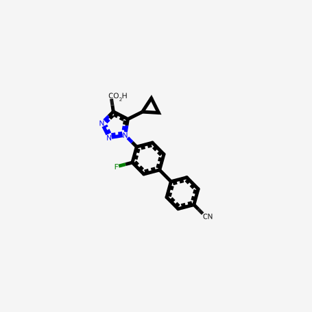 N#Cc1ccc(-c2ccc(-n3nnc(C(=O)O)c3C3CC3)c(F)c2)cc1